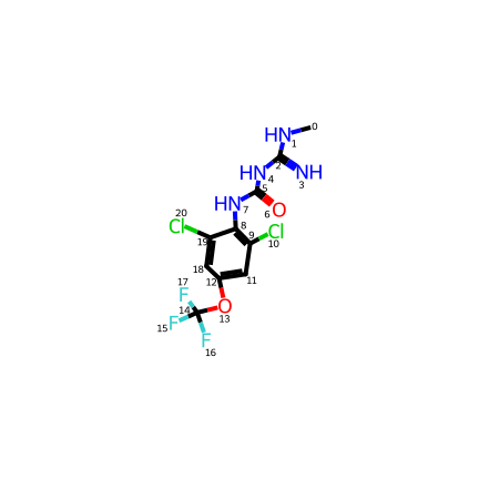 CNC(=N)NC(=O)Nc1c(Cl)cc(OC(F)(F)F)cc1Cl